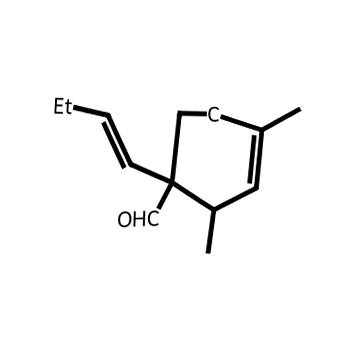 CCC=CC1(C=O)CCC(C)=CC1C